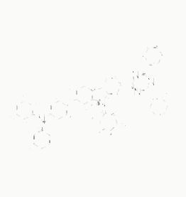 c1ccc(-c2nc(-c3ccccc3)nc(-c3ccc4c5ccc(-c6ccc(N(c7ccccc7)c7ccccc7)cc6)cc5n(-c5ccccc5)c4c3)n2)cc1